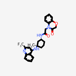 C[C@@]1(Nc2cc(C(F)(F)F)nc3ccccc23)CCC[C@@H](NC(=O)CN2C(=O)COc3ccccc32)C1